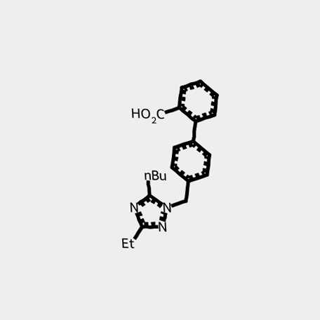 CCCCc1nc(CC)nn1Cc1ccc(-c2ccccc2C(=O)O)cc1